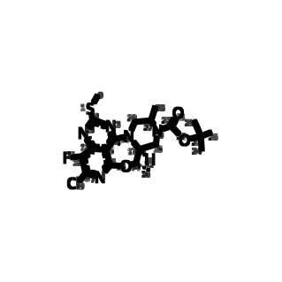 CSc1nc2c3c(nc(Cl)c(F)c3n1)O[C@@H](C)[C@@H]1CN(C(=O)OC(C)(C)C)C(C)CN21